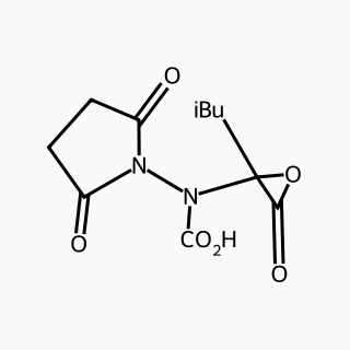 CCC(C)C1(N(C(=O)O)N2C(=O)CCC2=O)OC1=O